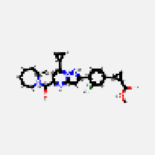 COC(=O)C1C[C@@H]1c1ccc(-c2cc3nc(C(=O)N4CCCCC[C@H]4C)cc(C4CC4)n3n2)c(F)c1